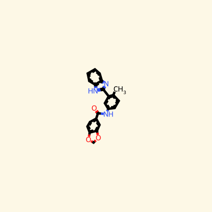 Cc1ccc(NC(=O)c2ccc3c(c2)OCO3)cc1-c1nc2ccccc2[nH]1